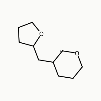 [C]1OCCCC1CC1CCCO1